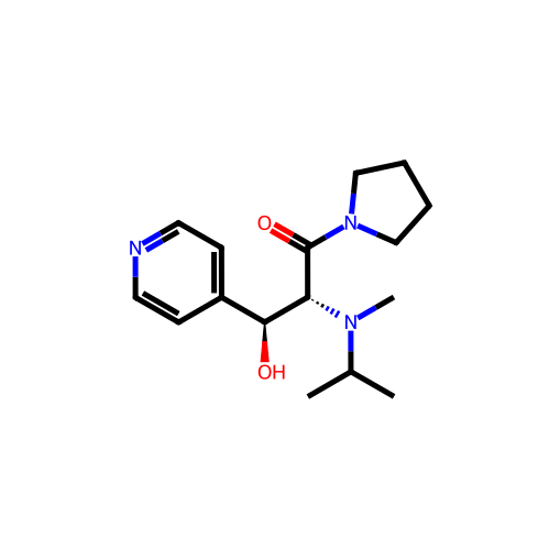 CC(C)N(C)[C@@H](C(=O)N1CCCC1)[C@@H](O)c1ccncc1